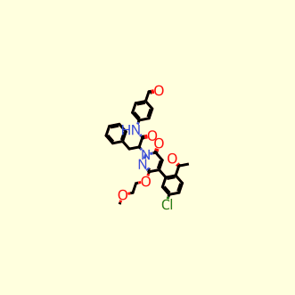 COCCOc1nn(C(Cc2ccccc2)C(=O)Nc2ccc(C=O)cc2)c(=O)cc1-c1cc(Cl)ccc1C(C)=O